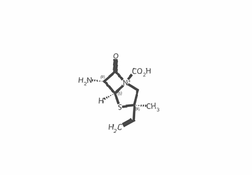 C=C[C@]1(C)C[N+]2(C(=O)O)C(=O)[C@@H](N)[C@@H]2S1